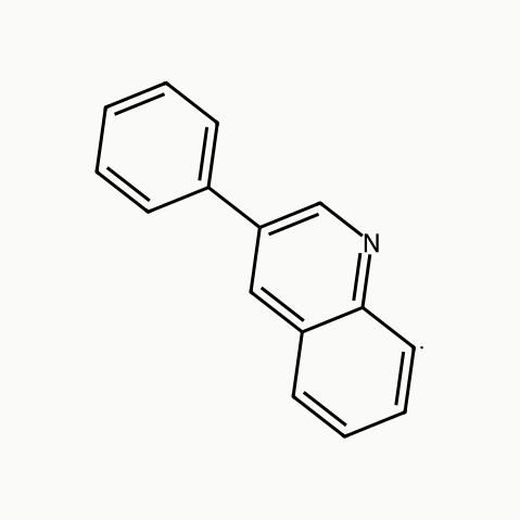 [c]1cccc2cc(-c3ccccc3)cnc12